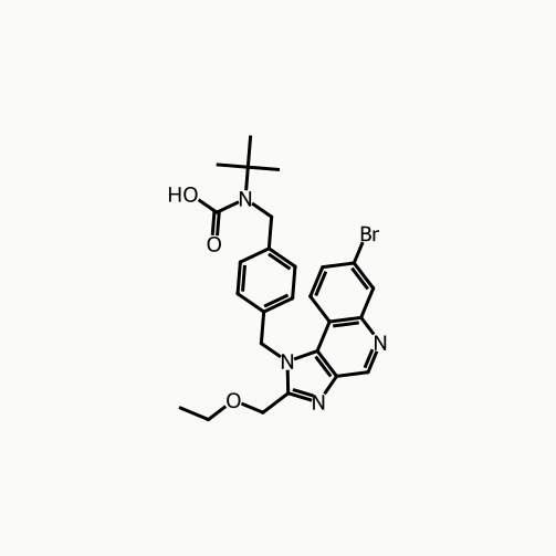 CCOCc1nc2cnc3cc(Br)ccc3c2n1Cc1ccc(CN(C(=O)O)C(C)(C)C)cc1